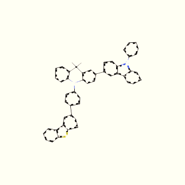 CC1(C)c2ccccc2N(c2ccc(-c3ccc4sc5ccccc5c4c3)cc2)c2ccc(-c3ccc4c(c3)c3ccccc3n4-c3ccccc3)cc21